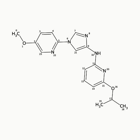 COc1ccc(-n2cnc(Nc3cccc(OC(C)C)n3)c2)nc1